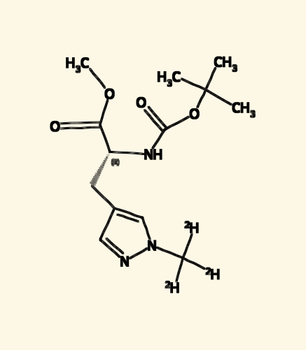 [2H]C([2H])([2H])n1cc(C[C@@H](NC(=O)OC(C)(C)C)C(=O)OC)cn1